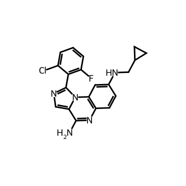 Nc1nc2ccc(NCC3CC3)cc2n2c(-c3c(F)cccc3Cl)ncc12